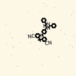 CC1(C)c2cc(C#N)ccc2N(c2ccc(-c3nc(-c4ccccc4)nc(-c4ccccc4)n3)cc2)c2ccc(C#N)cc21